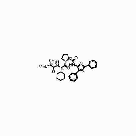 CN[C@@H](C)C(=O)N[C@H](C(=O)N1CCC[C@H]1C(=O)Nc1nc(-c2ccccc2)sc1-c1ccccc1)C1CCCCC1